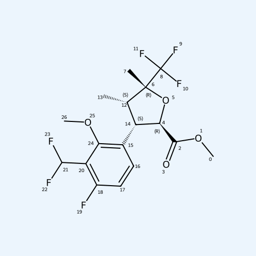 COC(=O)[C@@H]1O[C@@](C)(C(F)(F)F)[C@@H](C)[C@H]1c1ccc(F)c(C(F)F)c1OC